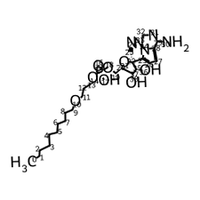 CCCCCCCCCCOCCCOP(=O)(O)OC[C@H]1O[C@@](C#N)(c2ccc3c(N)ncnn23)[C@H](O)[C@@H]1O